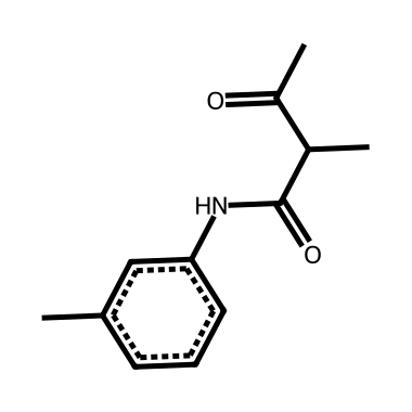 CC(=O)C(C)C(=O)Nc1cccc(C)c1